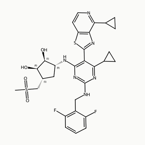 CS(=O)(=O)C[C@H]1C[C@@H](Nc2nc(NCc3c(F)cccc3F)nc(C3CC3)c2-c2nc3c(C4CC4)nccc3s2)[C@H](O)[C@@H]1O